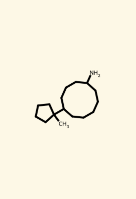 CC1(C2CCCCCC(N)CCC2)CCCC1